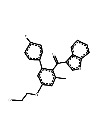 Cc1cc(OCCBr)cc(-c2ccc(F)cc2)c1C(=O)c1csc2ccccc12